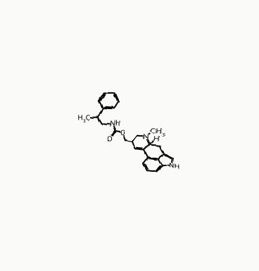 CC(CNC(=O)OC[C@@H]1C=C2c3cccc4[nH]cc(c34)C[C@H]2N(C)C1)c1ccccc1